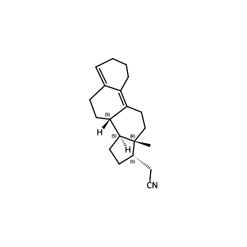 C[C@]12CCC3=C4CCCC=C4CC[C@H]3[C@@H]1CC[C@H]2CC#N